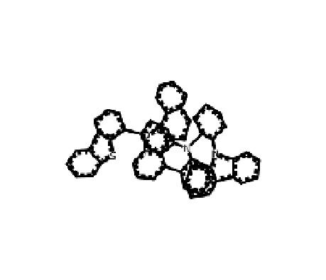 c1ccc(N(c2ccc(-c3cccc4c3sc3ccccc34)cc2)c2ccccc2-n2c3ccccc3c3ccccc32)c(-c2cccc3oc4c5ccccc5ccc4c23)c1